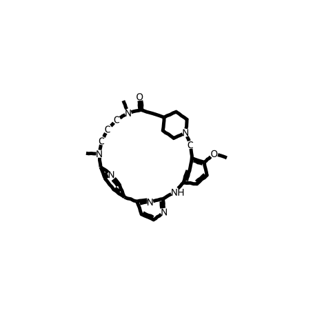 COc1ccc2cc1CN1CCC(CC1)C(=O)N(C)CCCN(C)c1ccc(cn1)-c1ccnc(n1)N2